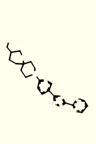 O=C(O)CC1CCC2(CC1)CCN(c1ccc(-c3nc(-c4ncccn4)n[nH]3)cn1)CC2